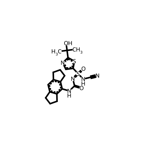 CC(C)(O)c1ncc(S(=O)(=NC(=O)Nc2c3c(cc4c2CCC4)CCC3)NC#N)s1